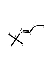 CO/C=N/C(C)(C)C